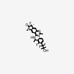 Cc1nc(NC(C)c2cccc(C(F)(F)C(C)(C)O)c2F)c2cc3c(cc2n1)[C@](C)(F)C(=O)N3C